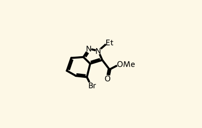 CCn1nc2cccc(Br)c2c1C(=O)OC